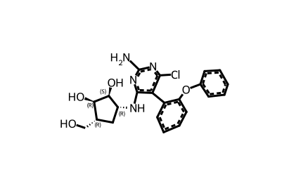 Nc1nc(Cl)c(-c2ccccc2Oc2ccccc2)c(N[C@@H]2C[C@H](CO)[C@@H](O)[C@H]2O)n1